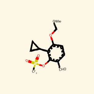 COCOc1ccc(C=O)c(OS(=O)(=O)C(F)(F)F)c1C1CC1